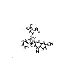 C[Si](C)(C)CCOCN(C1CNc2ccc(C#N)cc2C1)S(=O)(=O)c1ccccc1